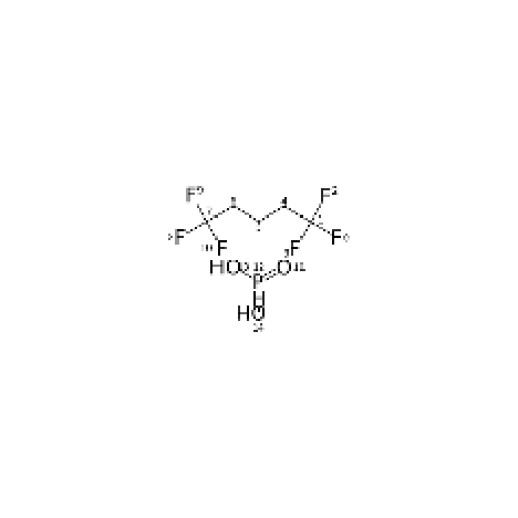 FC(F)(F)CCCC(F)(F)F.O=[PH](O)O